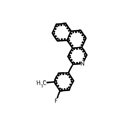 Cc1cc(-c2cc3c(ccc4ccccc43)cn2)ccc1F